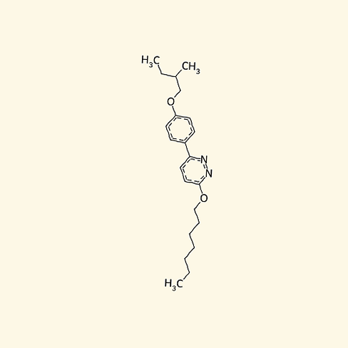 CCCCCCCOc1ccc(-c2ccc(OCC(C)CC)cc2)nn1